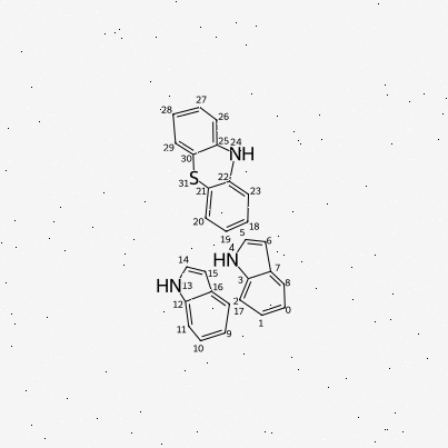 c1ccc2[nH]ccc2c1.c1ccc2[nH]ccc2c1.c1ccc2c(c1)Nc1ccccc1S2